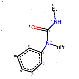 CCCN(C(=O)NCC)c1ccccc1